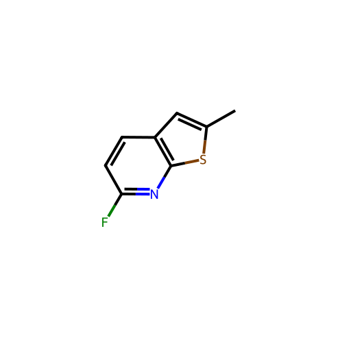 Cc1cc2ccc(F)nc2s1